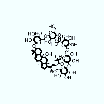 C[C@H](CC[C@@H](O[C@@H]1O[C@H](CO[C@H]2O[C@H](CO)[C@@H](O)[C@H](O)[C@H]2O)[C@@H](O)[C@H](O)[C@H]1O[C@H]1O[C@@H](CO)[C@H](O)[C@@H](O)[C@@H]1O)C(C)(C)O)C1CC[C@@]2(C)C3CC=C4C(CC[C@H](O[C@@H]5O[C@H](CO[C@@H]6O[C@H](CO)[C@@H](O)[C@H](O)[C@H]6O)[C@@H](O)[C@H](O)[C@H]5O)C4(C)C)[C@]3(C)[C@H](O)C[C@]12C